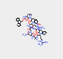 CC(C)C[C@H](NC(=O)OCC1c2ccccc2-c2ccccc21)C(=O)N[C@@H](Cc1ccc(O)cc1)C(=O)N[C@@H](CCCNC(=N)N)C(=O)N[C@@H](C)C(=O)NCC(=O)N[C@@H](Cc1ccccc1)C(=O)N[C@@H](CCCNC(=N)N)C(=O)N[C@@H](C)C(=O)N[C@@H](CC(N)=O)C(=O)NCC(N)=O